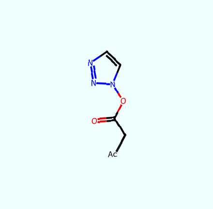 CC(=O)CC(=O)On1ccnn1